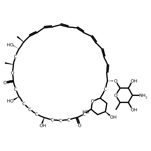 CC1OC(O[C@H]2/C=C/C=C/C=C/C=C/C=C/C=C/C=C/[C@H](C)[C@@H](O)C[C@H](C)OC(=O)C[C@H](O)CCC[C@H](O)CCCC(=O)C[C@]3(O)C[C@H](O)CC(C2)O3)C(O)C(N)C1O